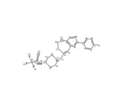 Cc1ccc(-c2ccc3c(c2)C=C(C[N+]2CCC(NC(=O)C(F)(F)F)CC2)CCO3)cc1